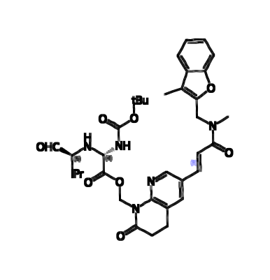 Cc1c(CN(C)C(=O)/C=C/c2cnc3c(c2)CCC(=O)N3COC(=O)[C@@H](NC(=O)OC(C)(C)C)N[C@H](C=O)C(C)C)oc2ccccc12